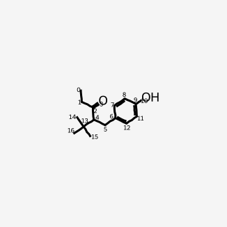 CCC(=O)C(Cc1ccc(O)cc1)C(C)(C)C